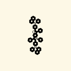 c1ccc(-c2c(-c3ccc(N(c4ccccc4)c4cccc5ccccc45)cc3)oc3cc4c(-c5ccccc5)c(-c5ccc(N(c6ccccc6)c6cccc7ccccc67)cc5)n(-c5ccccc5)c4cc23)cc1